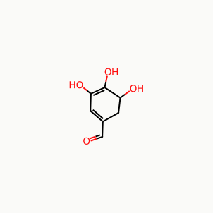 O=CC1=CC(O)=C(O)C(O)C1